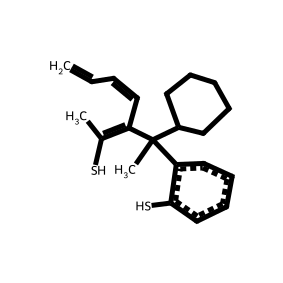 C=C/C=C\C(=C(/C)S)C(C)(c1ccccc1S)C1CCCCC1